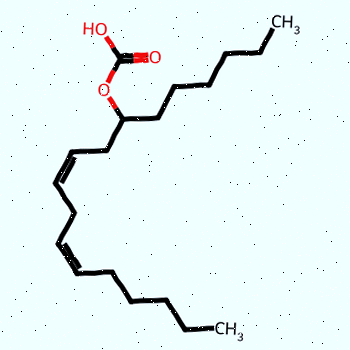 CCCCC/C=C\C/C=C\CC(CCCCCC)OC(=O)O